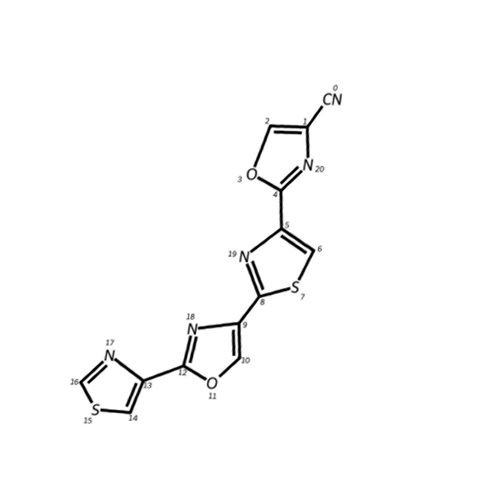 N#Cc1coc(-c2csc(-c3coc(-c4cscn4)n3)n2)n1